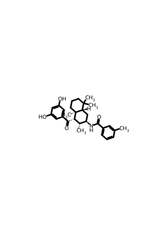 Cc1cccc(C(=O)N[C@@H]2C[C@H]3C(C)(C)CCC[C@]3(C)[C@@H](C(=O)c3cc(O)cc(O)c3)[C@H]2C)c1